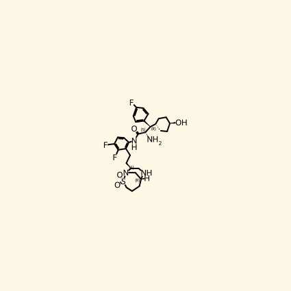 N[C@H](C(=O)Nc1ccc(F)c(F)c1CC[C@H]1CN[C@@H]2CCCS(=O)(=O)N1C2)[C@@H](c1ccc(F)cc1)[C@H]1CC[C@H](O)CC1